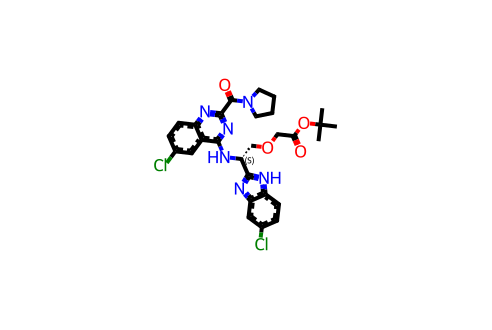 CC(C)(C)OC(=O)COC[C@@H](Nc1nc(C(=O)N2CCCC2)nc2ccc(Cl)cc12)c1nc2cc(Cl)ccc2[nH]1